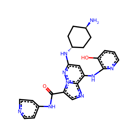 N[C@H]1CC[C@H](Nc2cc(Nc3ncccc3O)c3ncc(C(=O)Nc4ccncc4)n3n2)CC1